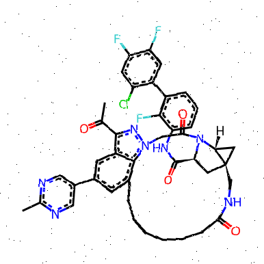 CC(=O)c1nn2c3c(cc(-c4cnc(C)nc4)cc13)CCCCCCC(=O)NC[C@@]13C[C@@H](C(=O)Nc4cccc(-c5cc(F)c(F)cc5Cl)c4F)N(C(=O)C2)[C@@H]1C3